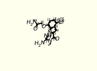 CN(C(=N)N)C(=O)c1cc2c(Cl)ccc(OCC(N)=O)c2[nH]1.Cl